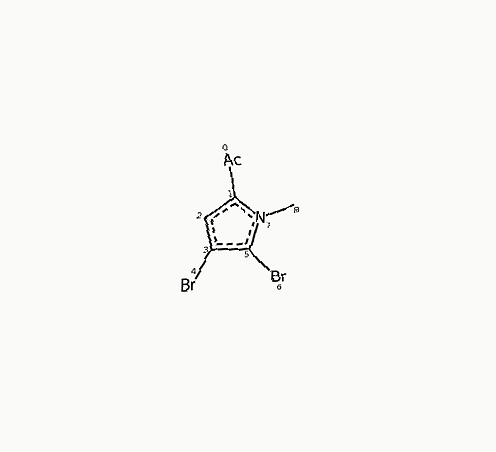 CC(=O)c1cc(Br)c(Br)n1C